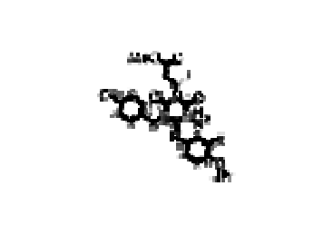 COC(=O)C[C@H](C)n1c(=O)n(N)/c(=N\c2ccc(OC(C)C)c(F)c2)n(Cc2ccc(Cl)cc2)c1=O